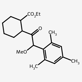 CCOC(=O)C1CCCCC1C(=O)C(OC)c1c(C)cc(C)cc1C